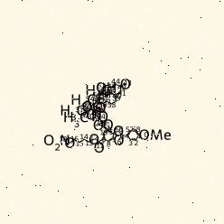 COc1ccc(C2Oc3cc(C(=O)OCCCCO[N+](=O)[O-])cc(OC(=O)OCC(=O)[C@@]45OC(C)(C)O[C@@H]4CC4C6CCC7=CC(=O)C=C[C@]7(C)[C@@]6(F)[C@@H](O)C[C@@]45C)c3O2)cc1